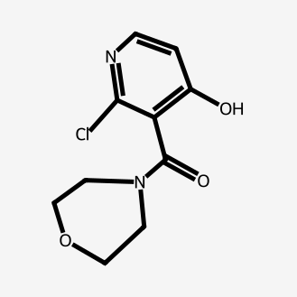 O=C(c1c(O)ccnc1Cl)N1CCOCC1